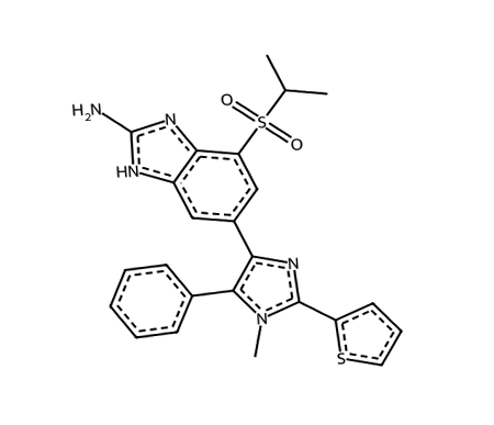 CC(C)S(=O)(=O)c1cc(-c2nc(-c3cccs3)n(C)c2-c2ccccc2)cc2[nH]c(N)nc12